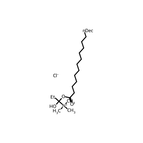 CCCCCCCCCCCCCCCCCCCCCC(=O)OC(O)(CC)[N+](C)(C)C.[Cl-]